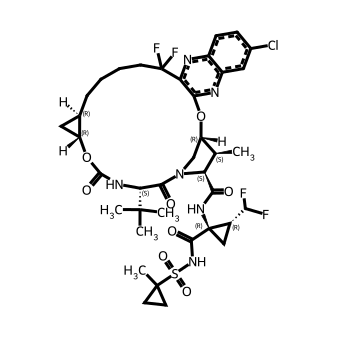 C[C@@H]1[C@@H]2CN(C(=O)[C@H](C(C)(C)C)NC(=O)O[C@@H]3C[C@H]3CCCCC(F)(F)c3nc4ccc(Cl)cc4nc3O2)[C@@H]1C(=O)N[C@]1(C(=O)NS(=O)(=O)C2(C)CC2)C[C@H]1C(F)F